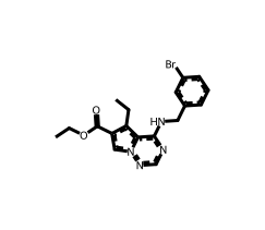 CCOC(=O)c1cn2ncnc(NCc3cccc(Br)c3)c2c1CC